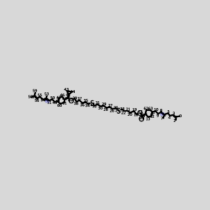 CC(C)=CCC/C(C)=C/CCC1=CCC(C(=O)OCCCCCCSCCCCCCCCSCCCCCCOC(=C2CC2)C2CC=C(CC/C=C(\C)CCC=C(C)C)CC2)CC1